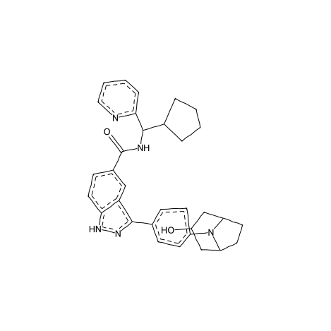 O=C(NC(c1ccccn1)C1CCCC1)c1ccc2[nH]nc(-c3ccc(N4C5CCC4CC(O)C5)cc3)c2c1